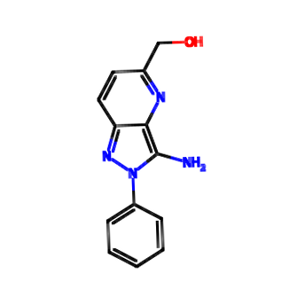 Nc1c2nc(CO)ccc2nn1-c1ccccc1